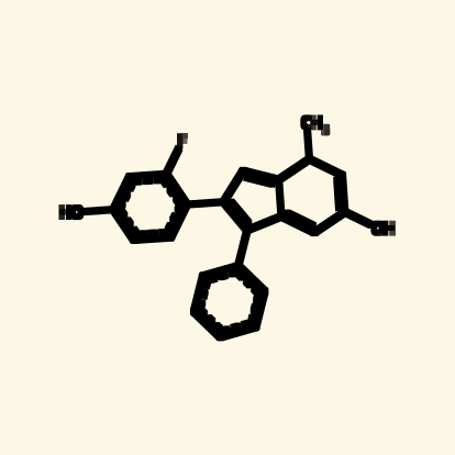 CC1C=C(O)C=C2C1=CC(c1ccc(O)cc1F)=C2c1ccccc1